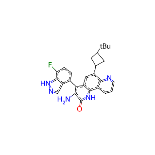 CC(C)(C)C1CC(c2cc3c(-c4ccc(F)c5[nH]ncc45)c(N)c(=O)[nH]c3c3cccnc23)C1